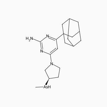 C[AsH][C@@H]1CCN(c2cc(C34CC5CC(CC(C5)C3)C4)nc(N)n2)C1